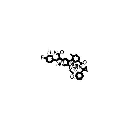 Cc1ccc(C(=O)NC2(c3ccccc3)CC2)cc1-c1cc2c(C(N)=O)c(-c3ccc(F)cc3)nn2cc1N(CCO)S(C)(=O)=O